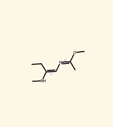 CC/C(=C\N=C(/C)OC)NC